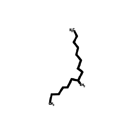 CCCCCCCCC(C)CCCCCC